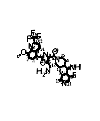 COc1ccc(-c2nc(C(=O)N3CCC(C(=N)c4ccncc4F)CC3)c(CN)o2)c2ccc(C(F)(F)F)nc12